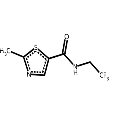 Cc1ncc(C(=O)NCC(F)(F)F)s1